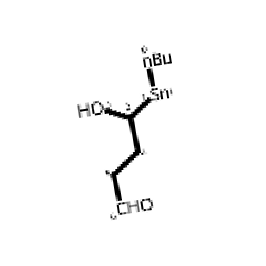 CCC[CH2][Sn][CH](O)CCC=O